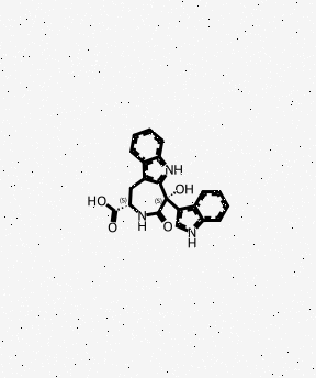 O=C(O)[C@@H]1Cc2c([nH]c3ccccc23)[C@@](O)(c2c[nH]c3ccccc23)C(=O)N1